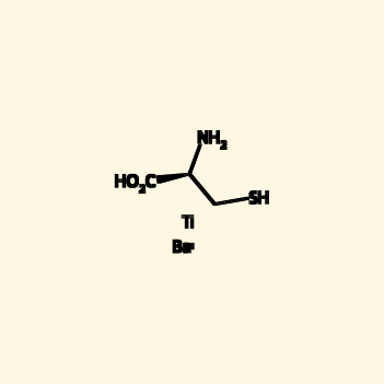 N[C@@H](CS)C(=O)O.[Ba].[Ti]